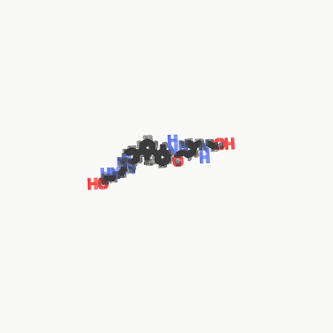 Cc1c(NC(=O)c2ccc(CNCCO)cn2)cccc1-c1cccc(-c2ccn3nc(CNCCO)nc3c2)c1C